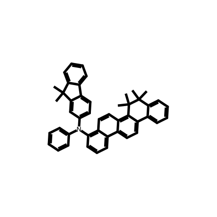 CC1(C)c2ccccc2-c2ccc(N(c3ccccc3)c3cccc4c3ccc3c5c(ccc34)-c3ccccc3C(C)(C)C5(C)C)cc21